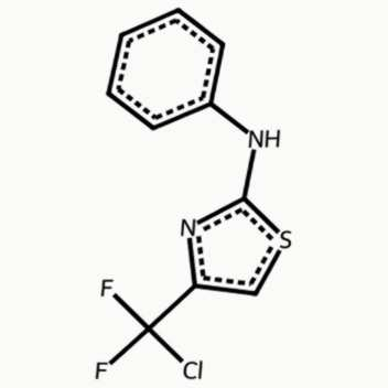 FC(F)(Cl)c1csc(Nc2ccccc2)n1